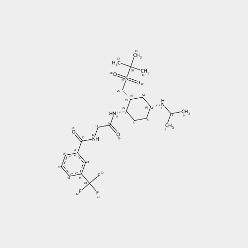 CC(C)N[C@@H]1CC[C@H](NC(=O)CNC(=O)c2cccc(C(F)(F)F)c2)[C@H](CS(=O)(=O)C(C)(C)C)C1